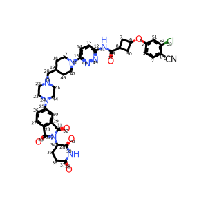 N#Cc1ccc(OC2CC(C(=O)Nc3ccc(N4CCC(CN5CCN(c6ccc7c(c6)C(=O)N(C6CCC(=O)NC6=O)C7=O)CC5)CC4)nn3)C2)cc1Cl